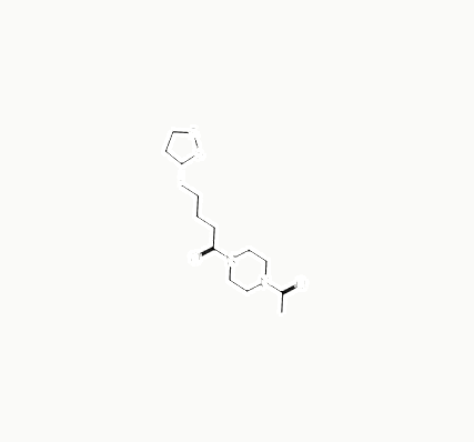 CC(=O)N1CCN(C(=O)CCCC[C@@H]2CCSS2)CC1